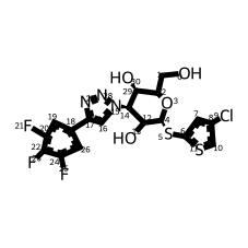 OCC1O[C@H](Sc2cc(Cl)cs2)C(O)[C@@H](n2cc(-c3cc(F)c(F)c(F)c3)nn2)[C@H]1O